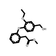 CCOc1cc(CO)ccc1Oc1ccccc1CC(=O)OC